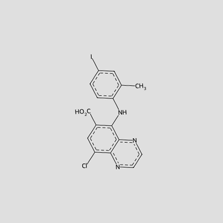 Cc1cc(I)ccc1Nc1c(C(=O)O)cc(Cl)c2nccnc12